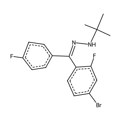 CC(C)(C)NN=C(c1ccc(F)cc1)c1ccc(Br)cc1F